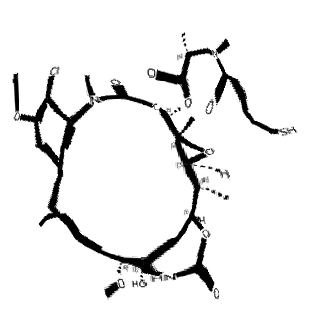 COc1cc2cc(c1Cl)N(C)C(=O)C[C@H](OC(=O)[C@H](C)N(C)C(=O)CCS)[C@]1(C)O[C@H]1[C@H](C)[C@@H]1C[C@@](O)(NC(=O)O1)[C@H](OC)C=C=C(C)C2